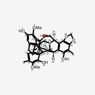 COc1cc2c(cc1O)CCNC21CS[C@H]2c3c(OC(C)=O)c(C)c4c(c3[C@H](COC1=O)N1[C@@H]2C2c3c(cc(C)c(OC)c3O)CC([C@@H]1O)N2C)OCO4